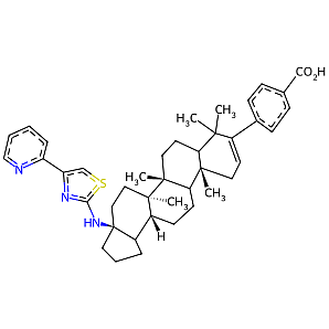 CC1(C)C(c2ccc(C(=O)O)cc2)=CC[C@@]2(C)C1CC[C@]1(C)C2CC[C@@H]2C3CCC[C@]3(Nc3nc(-c4ccccn4)cs3)CC[C@]21C